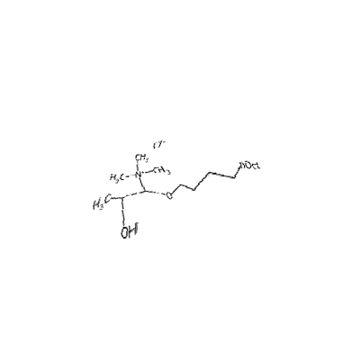 CCCCCCCCCCCCOC(C(C)O)[N+](C)(C)C.[Cl-]